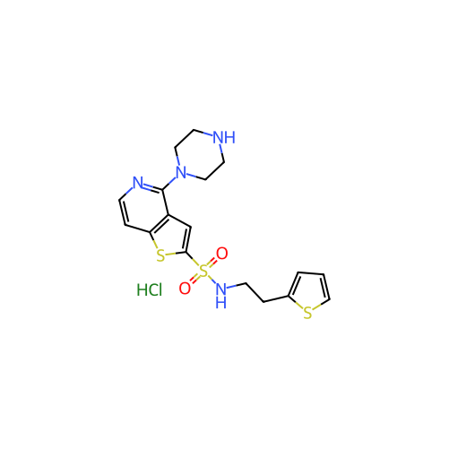 Cl.O=S(=O)(NCCc1cccs1)c1cc2c(N3CCNCC3)nccc2s1